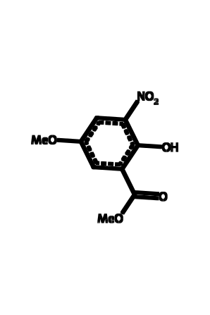 COC(=O)c1cc(OC)cc([N+](=O)[O-])c1O